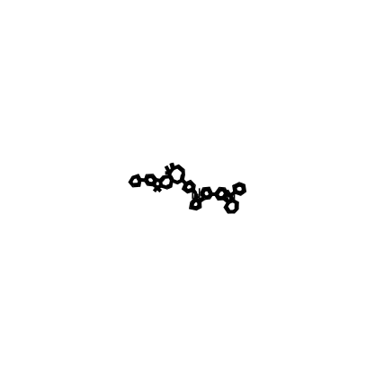 C=C1/C=C\C=C(\c2ccc(-n3c4ccccc4c4cc(-c5ccc6c(c5)c5c(n6-c6ccccc6)C=CCC=C5)ccc43)cc2)CC2=C(C=C3c4ccc(C5=CCCC=C5)cc4C(C)(C)C3C=C2)C1(C)C